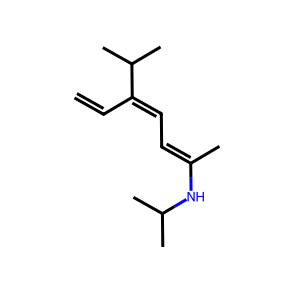 C=C/C(=C\C=C(/C)NC(C)C)C(C)C